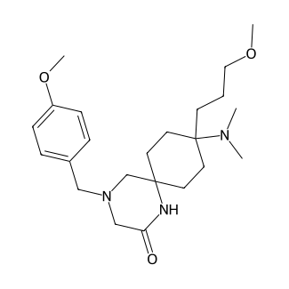 COCCCC1(N(C)C)CCC2(CC1)CN(Cc1ccc(OC)cc1)CC(=O)N2